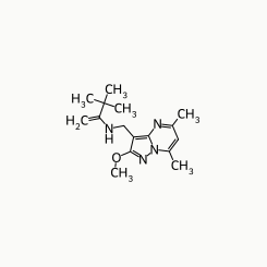 C=C(NCc1c(OC)nn2c(C)cc(C)nc12)C(C)(C)C